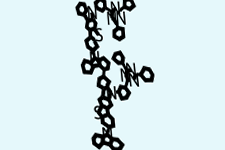 c1ccc(-c2nc(-c3ccccc3)nc(-c3cccc(-n4c5ccccc5c5cc6c(cc54)sc4cc(-n5c7ccccc7c7c(-c8ccc9c%10cc%11sc%12cc(-n%13c%14ccccc%14c%14ccccc%14%13)ccc%12c%11cc%10n(-c%10cccc(-c%11nc(-c%12ccccc%12)nc(-c%12ccccc%12)n%11)c%10)c9c8)cccc75)ccc46)c3)n2)cc1